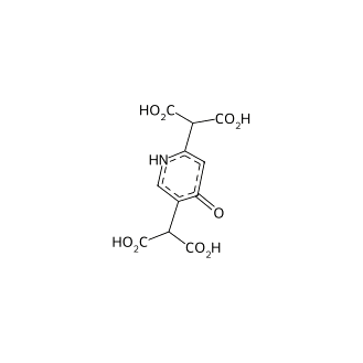 O=C(O)C(C(=O)O)c1cc(=O)c(C(C(=O)O)C(=O)O)c[nH]1